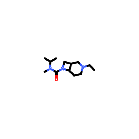 CCN1CCC2C(C1)CN2C(=O)N(C)C(C)C